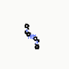 c1ccc(Cn2ccc3ccc(NNc4ccc5ccn(Cc6ccccc6)c5c4)cc32)cc1